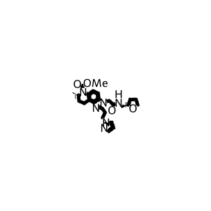 COC(=O)N1c2ccc3c(nc(CCn4cccn4)n3CC(=O)NC[C@H]3CCCO3)c2CC[C@@H]1C